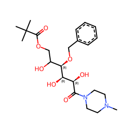 CN1CCN(C(=O)[C@H](O)[C@@H](O)[C@H](OCc2ccccc2)C(O)COC(=O)C(C)(C)C)CC1